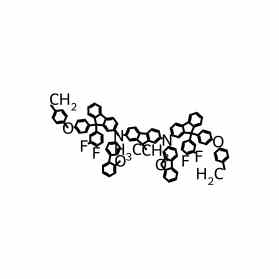 C=Cc1ccc(Oc2ccc(C3(c4ccc(F)c(F)c4)c4ccccc4-c4ccc(N(c5ccc6c(c5)C(C)(C)c5cc(N(c7ccc8c(c7)C(c7ccc(Oc9ccc(C=C)cc9)cc7)(c7ccc(F)c(F)c7)c7ccccc7-8)c7ccc8c(c7)oc7ccccc78)ccc5-6)c5ccc6c(c5)oc5ccccc56)cc43)cc2)cc1